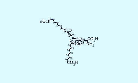 CCCCCCCC/C=C\CCCCCCCC(=O)OC[C@H](COP(=O)(O)OC[C@H](N)C(=O)O)OC(=O)CCCCCCCC(=O)O